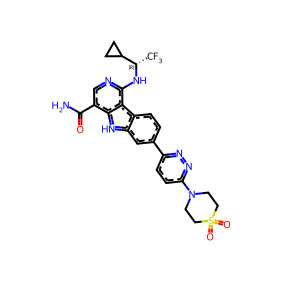 NC(=O)c1cnc(N[C@H](C2CC2)C(F)(F)F)c2c1[nH]c1cc(-c3ccc(N4CCS(=O)(=O)CC4)nn3)ccc12